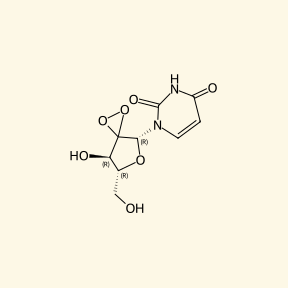 O=c1ccn([C@@H]2O[C@H](CO)[C@@H](O)C23OO3)c(=O)[nH]1